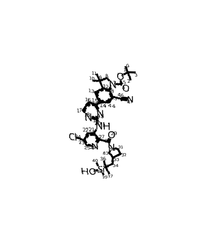 CC(C)(C)OC(=O)N1CC(C)(C)c2cc(-c3ccnc(Nc4cc(Cl)cnc4C(=O)N4CCC(CC(C)(C)[Si](C)(C)O)C4)n3)cc(C#N)c21